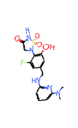 CN(C)c1cccc(NCc2cc(O)c(N3CC(=O)NS3(=O)=O)c(F)c2)n1